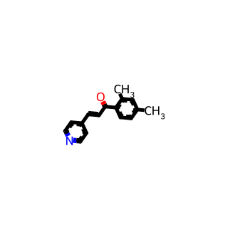 Cc1ccc(C(=O)C=Cc2ccncc2)c(C)c1